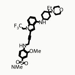 CC[C@]1(N2CCOCC2)CC[C@H](Nc2cccc3c2cc(C#CCNc2ccc(S(=O)(=O)NC)cc2OC)n3CC(F)(F)F)CC1